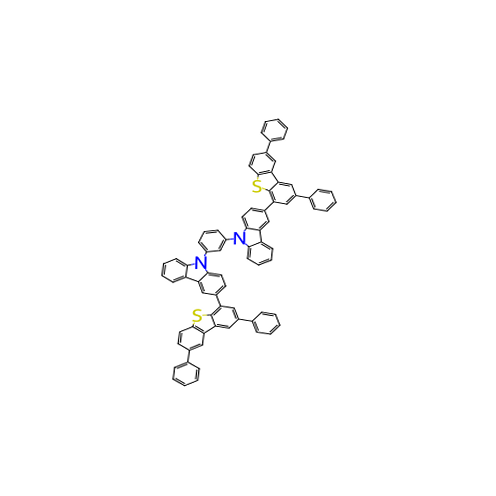 c1ccc(-c2ccc3sc4c(-c5ccc6c(c5)c5ccccc5n6-c5cccc(-n6c7ccccc7c7cc(-c8cc(-c9ccccc9)cc9c8sc8ccc(-c%10ccccc%10)cc89)ccc76)c5)cc(-c5ccccc5)cc4c3c2)cc1